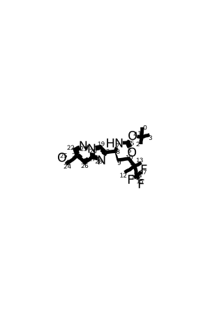 CC(C)(C)OC(=O)N[C@@H](CCC(C)(C)C(F)(F)F)c1cn2ncc(C=O)cc2n1